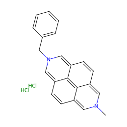 CN1C=c2ccc3c4c(ccc(c24)=C1)=CN(Cc1ccccc1)C=3.Cl.Cl